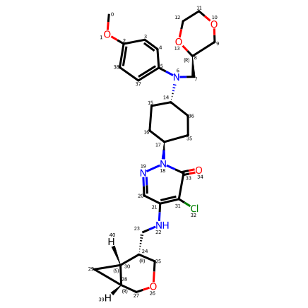 COc1ccc(N(C[C@@H]2COCCO2)[C@H]2CC[C@H](n3ncc(NC[C@@H]4COC[C@@H]5C[C@H]45)c(Cl)c3=O)CC2)cc1